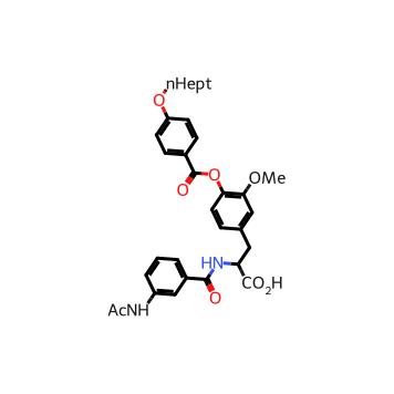 CCCCCCCOc1ccc(C(=O)Oc2ccc(CC(NC(=O)c3cccc(NC(C)=O)c3)C(=O)O)cc2OC)cc1